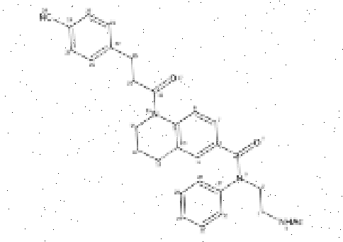 CC(=O)NCCN(C(=O)c1ccc2c(c1)CCCN2C(=O)CCc1ccc(C#N)cc1)c1ccccc1